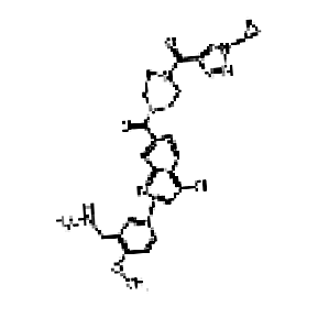 CNCc1cc(-c2cc(Cl)c3ccc(C(=O)N4CCN(C(=O)c5cn(C6CC6)nn5)CC4)cc3n2)ccc1OC